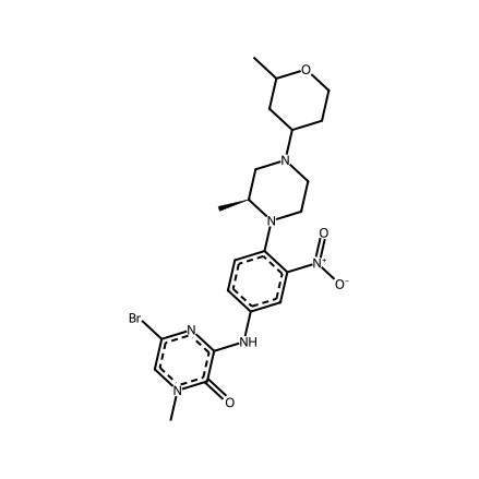 CC1CC(N2CCN(c3ccc(Nc4nc(Br)cn(C)c4=O)cc3[N+](=O)[O-])[C@@H](C)C2)CCO1